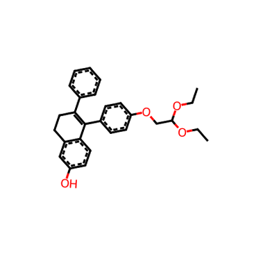 CCOC(COc1ccc(C2=C(c3ccccc3)CCc3cc(O)ccc32)cc1)OCC